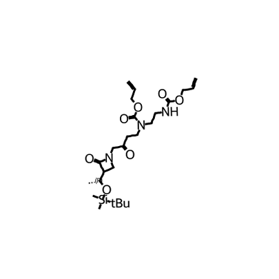 C=CCOC(=O)NCCN(CCC(=O)CN1CC([C@@H](C)O[Si](C)(C)C(C)(C)C)C1=O)C(=O)OCC=C